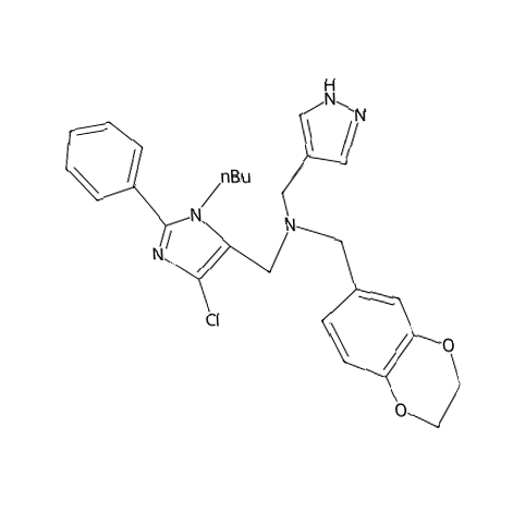 CCCCn1c(-c2ccccc2)nc(Cl)c1CN(Cc1cn[nH]c1)Cc1ccc2c(c1)OCCO2